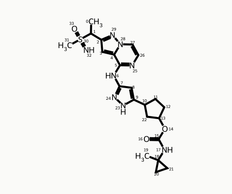 CC(c1cc2c(Nc3cc(C4CCC(OC(=O)NC5(C)CC5)C4)[nH]n3)nccn2n1)S(C)(=N)=O